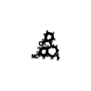 CN1CCN(c2ccccc2Cl)c2ccc(C#N)cc2C1